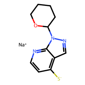 [Na+].[S-]c1ccnc2c1cnn2C1CCCCO1